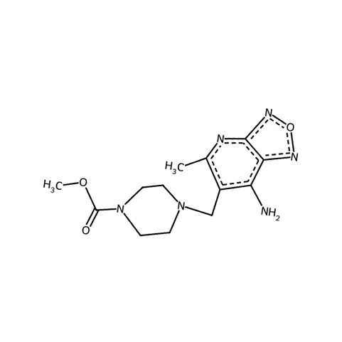 COC(=O)N1CCN(Cc2c(C)nc3nonc3c2N)CC1